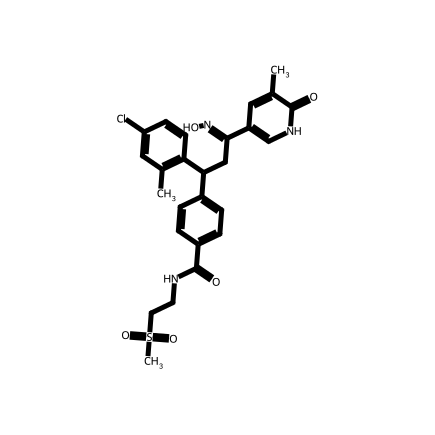 Cc1cc(Cl)ccc1C(C/C(=N\O)c1c[nH]c(=O)c(C)c1)c1ccc(C(=O)NCCS(C)(=O)=O)cc1